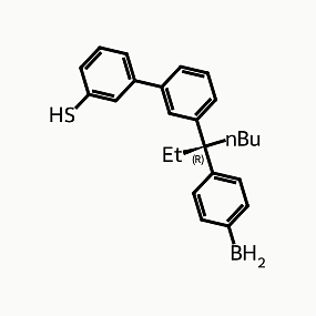 Bc1ccc([C@@](CC)(CCCC)c2cccc(-c3cccc(S)c3)c2)cc1